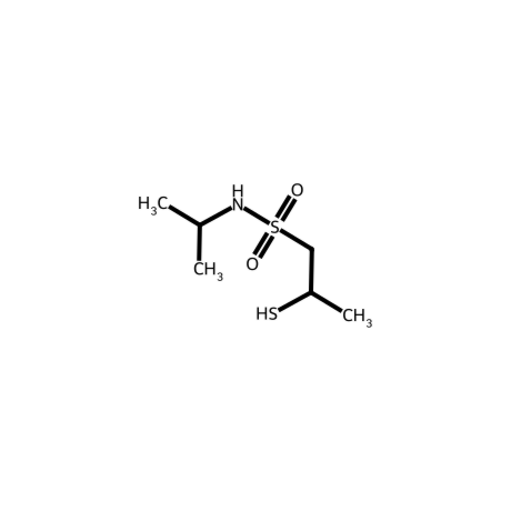 CC(S)CS(=O)(=O)NC(C)C